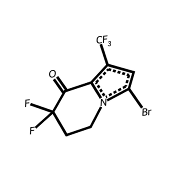 O=C1c2c(C(F)(F)F)cc(Br)n2CCC1(F)F